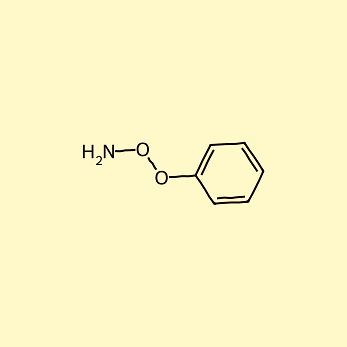 NOOc1ccccc1